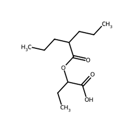 CCCC(CCC)C(=O)OC(CC)C(=O)O